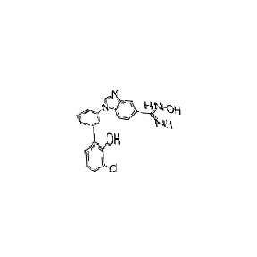 N=C(NO)c1ccc2c(c1)ncn2-c1cccc(-c2cccc(Cl)c2O)c1